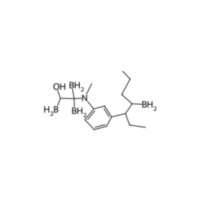 BC(CCC)C(CC)c1cccc(N(C)C(B)(B)C(B)O)c1